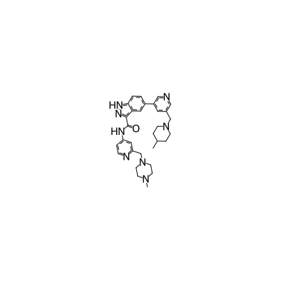 CC1CCN(Cc2cncc(-c3ccc4[nH]nc(C(=O)Nc5ccnc(CN6CCN(C)CC6)c5)c4c3)c2)CC1